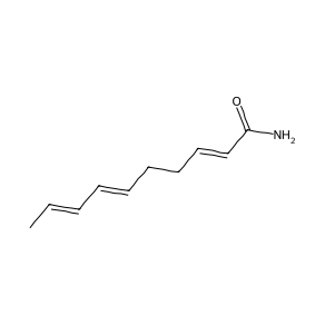 C/C=C/C=C/CC/C=C/C(N)=O